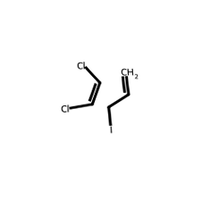 C=CCI.Cl/C=C\Cl